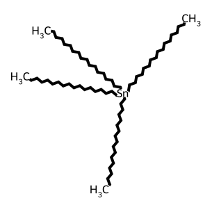 CCCCCCCCCCCCCCCCC[CH2][Sn]([CH2]CCCCCCCCCCCCCCCCC)([CH2]CCCCCCCCCCCCCCCCC)[CH2]CCCCCCCCCCCCCCCCC